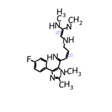 C=N/C(=C\NC/C=C\C(=N)c1c(-c2ccc(F)cc2)nc(C)n1C)NC